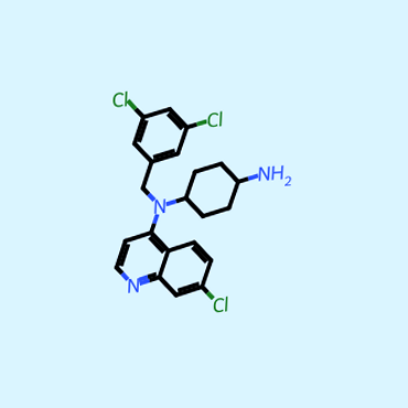 NC1CCC(N(Cc2cc(Cl)cc(Cl)c2)c2ccnc3cc(Cl)ccc23)CC1